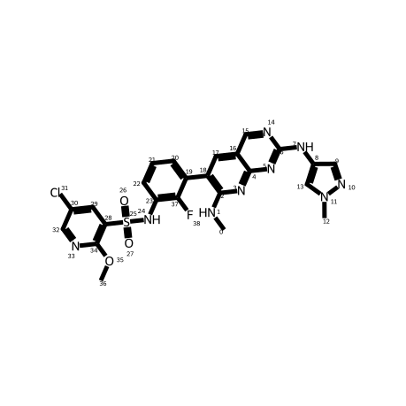 CNc1nc2nc(Nc3cnn(C)c3)ncc2cc1-c1cccc(NS(=O)(=O)c2cc(Cl)cnc2OC)c1F